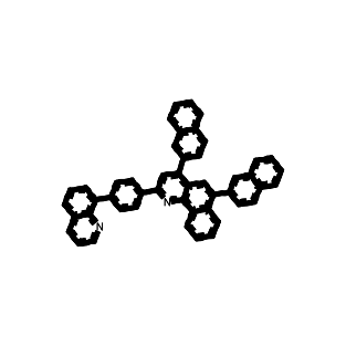 c1ccc2cc(-c3cc4c(-c5ccc6ccccc6c5)cc(-c5ccc(-c6cccc7cccnc67)cc5)nc4c4ccccc34)ccc2c1